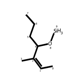 CC=C(C)C(CCC)O[SiH3]